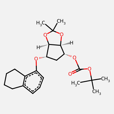 CC(C)(C)OC(=O)O[C@@H]1C[C@H](Oc2cccc3c2CCCC3)[C@H]2OC(C)(C)O[C@H]21